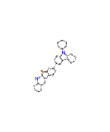 c1ccc(-n2c3ccccc3c3cc(-c4ccc5c(c4)sc4nc6ccccc6cc45)ccc32)cc1